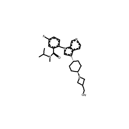 CC(C)N(C)C(=O)c1cc(F)ccc1-n1cc([C@H]2CC[C@H](N3CC(CO)C3)CC2)c2ccncc21